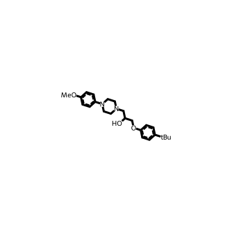 COc1ccc(N2CCN(CC(O)COc3ccc(C(C)(C)C)cc3)CC2)cc1